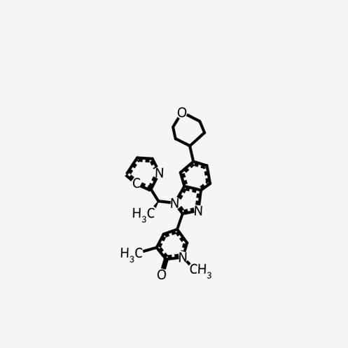 Cc1cc(-c2nc3ccc(C4CCOCC4)cc3n2[C@@H](C)c2ccccn2)cn(C)c1=O